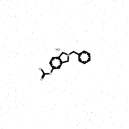 Cl.O=C(Cl)Oc1ccc2c(c1)CN(Cc1ccccc1)C2